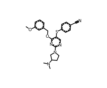 COc1cccc(COc2nc(N3CCC(N(C)C)C3)ncc2Sc2ccc(C#N)cc2)c1